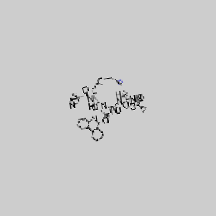 O=C(NC1CCCCC/C=C\C2C[C@@]2(C(=O)NS(=O)(=O)C2CC2)NC(=O)[C@@H]2C[C@@H](Oc3nc4ccccc4c4ccccc34)CN2C1=O)c1cncs1